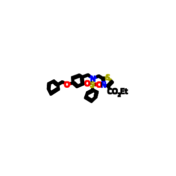 CCOC(=O)c1csc(CN(Cc2ccc(OCc3ccccc3)cc2)S(=O)(=O)c2ccccc2)n1